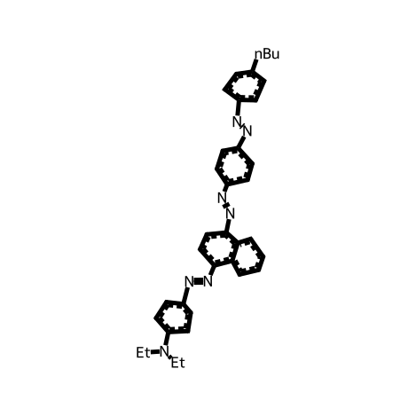 CCCCc1ccc(/N=N/c2ccc(/N=N/c3ccc(/N=N/c4ccc(N(CC)CC)cc4)c4ccccc34)cc2)cc1